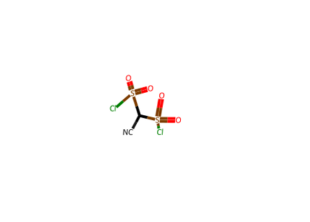 N#CC(S(=O)(=O)Cl)S(=O)(=O)Cl